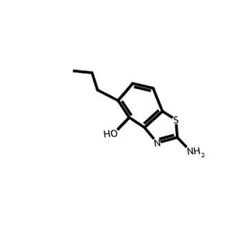 CCCc1ccc2sc(N)nc2c1O